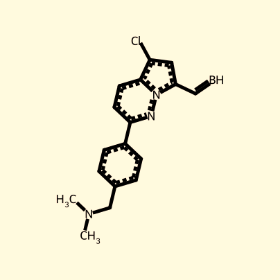 B=Cc1cc(Cl)c2ccc(-c3ccc(CN(C)C)cc3)nn12